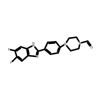 O=CN1CCN(c2ccc(-c3nc4cc(F)c(F)cc4[nH]3)cc2)CC1